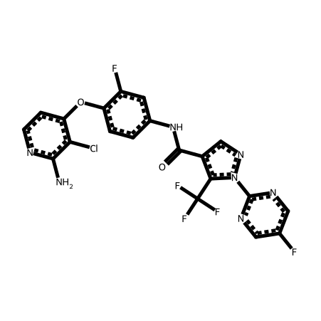 Nc1nccc(Oc2ccc(NC(=O)c3cnn(-c4ncc(F)cn4)c3C(F)(F)F)cc2F)c1Cl